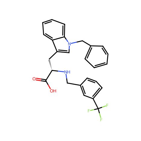 O=C(O)[C@H](Cc1cn(Cc2ccccc2)c2ccccc12)NCc1cccc(C(F)(F)F)c1